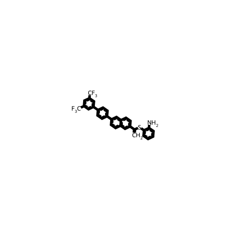 C=C(Sc1ccccc1N)c1ccc2cc(-c3ccc(-c4cc(C(F)(F)F)cc(C(F)(F)F)c4)cc3)ccc2c1